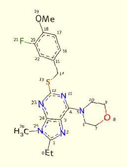 CCc1nc2c(N3CCOCC3)nc(SCc3ccc(OC)c(F)c3)nc2n1C